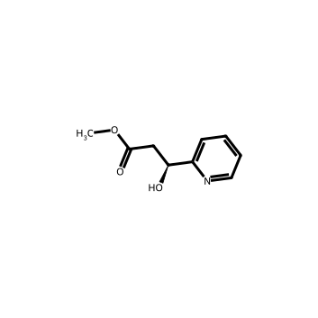 COC(=O)C[C@H](O)c1ccccn1